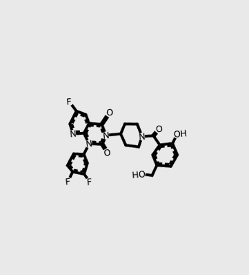 O=C(c1cc(CO)ccc1O)N1CCC(n2c(=O)c3cc(F)cnc3n(-c3ccc(F)c(F)c3)c2=O)CC1